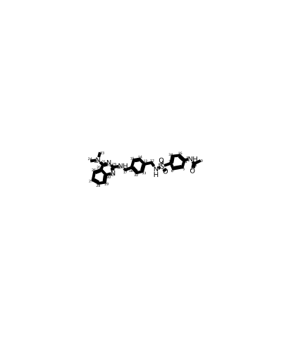 CC(=O)Nc1ccc(S(=O)(=O)NCc2ccc(CNc3nc(N(C)C)c4ccccc4n3)cc2)cc1